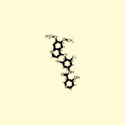 COc1cc2nccc(Oc3c(F)cc(NC(=O)c4cnccc4O)cc3F)c2cc1OC